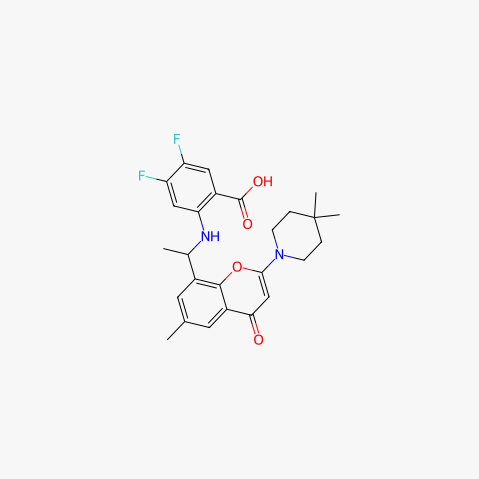 Cc1cc(C(C)Nc2cc(F)c(F)cc2C(=O)O)c2oc(N3CCC(C)(C)CC3)cc(=O)c2c1